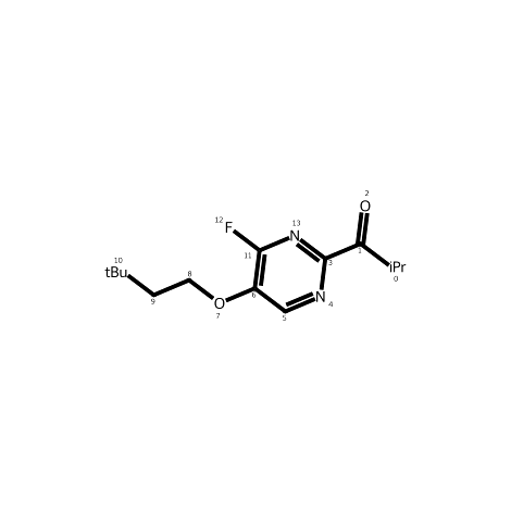 CC(C)C(=O)c1ncc(OCCC(C)(C)C)c(F)n1